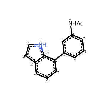 CC(=O)Nc1cccc(-c2cccc3cc[nH]c23)c1